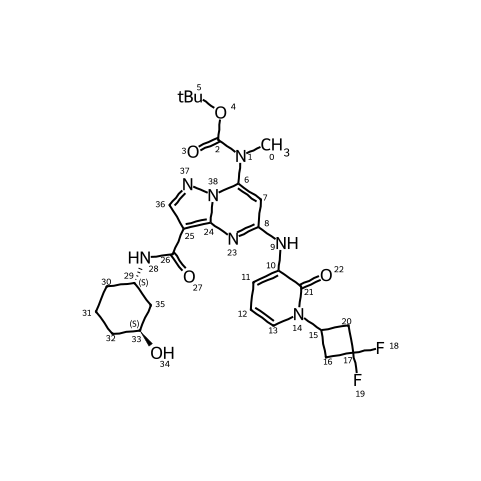 CN(C(=O)OC(C)(C)C)c1cc(Nc2cccn(C3CC(F)(F)C3)c2=O)nc2c(C(=O)N[C@H]3CCC[C@H](O)C3)cnn12